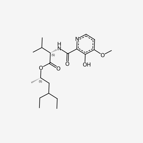 CCC(CC)C[C@H](C)OC(=O)[C@@H](NC(=O)c1nccc(OC)c1O)C(C)C